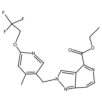 CCOC(=O)c1nccc2nn(Cc3cnc(OCC(F)(F)F)cc3C)cc12